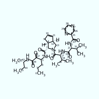 CCCC(NC(=O)[C@@H]1[C@H]2CC=C[C@H]2CN1C(=O)[C@@H](NC(=O)[C@@H](NC(=O)c1cnccn1)C(C)C)C(C)C)C(=O)C(=O)N[C@@H](C)CC